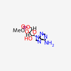 CO[P@]1(=O)OC[C@H]2O[C@@H](n3cnc4c(N)ncnc43)[C@H](O)[C@@H]2O1